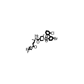 C[C@H](/C=C/C(=O)N1CC(F)(F)C1)NC(=O)[C@]1(F)CCN(S(=O)(=O)c2ccc(Br)cc2-c2ccccc2Cl)[C@H](C)C1